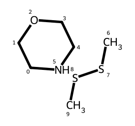 C1COCCN1.CSSC